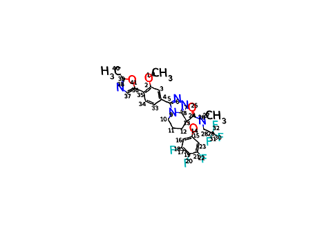 COc1cc(-c2nnc3n2CCCC3(Oc2cc(F)c(F)c(F)c2)C(=O)N(C)CC(F)(F)F)ccc1-c1cnc(C)o1